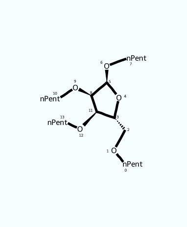 CCCCCOC[C@H]1O[C@H](OCCCCC)[C@H](OCCCCC)[C@@H]1OCCCCC